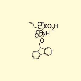 C=CCC(C(NC(=O)OCC1c2ccccc2-c2ccccc21)C(=O)O)(C(F)(F)F)C(F)(F)F